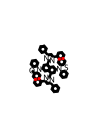 c1ccc(-c2cc(-c3ccccc3)nc(-c3cc(N4c5ccccc5Sc5ccccc54)cc4c(-c5nc(-c6ccccc6)cc(-c6ccccc6)n5)cc(N5c6ccccc6Oc6ccccc65)cc34)n2)cc1